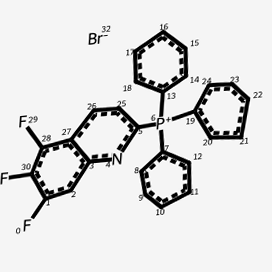 Fc1cc2nc([P+](c3ccccc3)(c3ccccc3)c3ccccc3)ccc2c(F)c1F.[Br-]